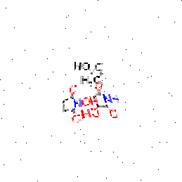 C=CC(=O)O.O=C1CC(O)C(=O)N1.O=C1CCC(=O)N1O